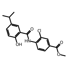 COC(=O)c1ccc(NC(=O)c2cc(C(C)C)ccc2O)c(Cl)c1